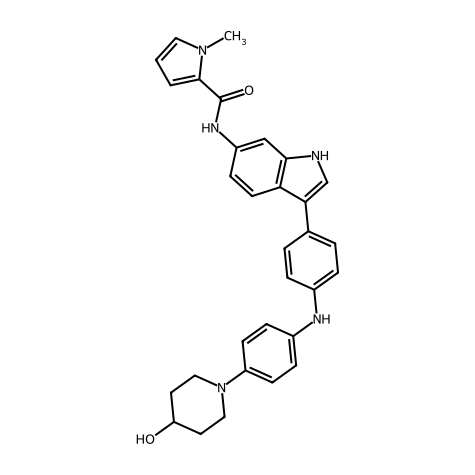 Cn1cccc1C(=O)Nc1ccc2c(-c3ccc(Nc4ccc(N5CCC(O)CC5)cc4)cc3)c[nH]c2c1